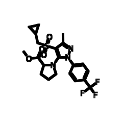 COC(=O)C1CCCN1c1c(S(=O)(=O)CC2CC2)c(C)nn1-c1ccc(C(F)(F)F)cc1